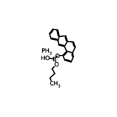 CCCCOB(O)Oc1cccc2ccc3cc4ccccc4cc3c12.P